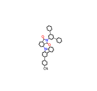 N#Cc1ccc(-c2ccc3c(c2)c2ccccc2n3-c2cccc3c2C(=O)N(c2cc(-c4ccccc4)cc(-c4ccccc4)c2)C3=O)cc1